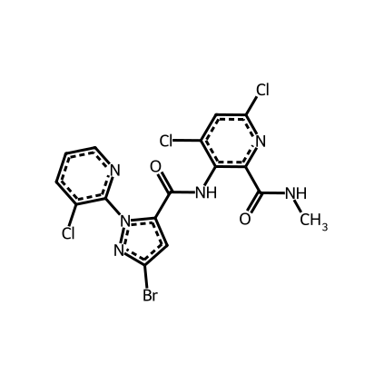 CNC(=O)c1nc(Cl)cc(Cl)c1NC(=O)c1cc(Br)nn1-c1ncccc1Cl